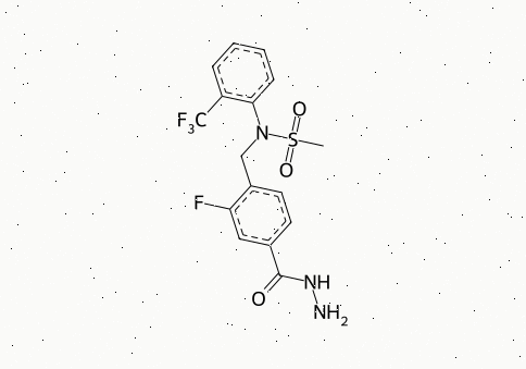 CS(=O)(=O)N(Cc1ccc(C(=O)NN)cc1F)c1ccccc1C(F)(F)F